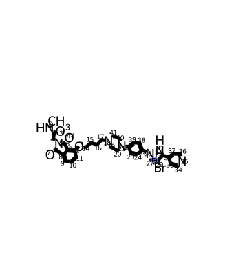 CNC(=O)CN1C(=O)c2cccc(OCCCCN3CCN(c4ccc(N/C=C(/Br)C(=N)c5ccncc5)cc4)CC3)c2C1=O